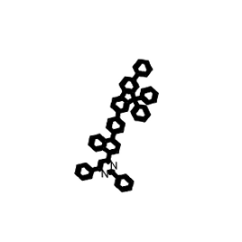 c1ccc(-c2ccc3c(c2)C(c2ccccc2)(c2ccccc2)c2cc(-c4ccc(-c5ccc(-c6cc(-c7ccccc7)nc(-c7ccccc7)n6)c6ccccc56)cc4)ccc2-3)cc1